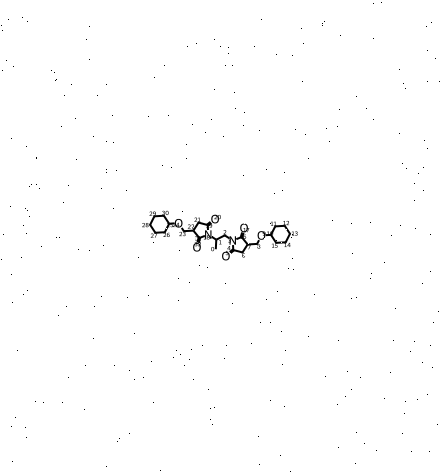 CC(CN1C(=O)CC(COC2CCCCC2)C1=O)N1C(=O)CC(COC2CCCCC2)C1=O